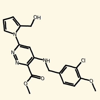 COC(=O)c1nnc(-n2cccc2CO)cc1NCc1ccc(OC)c(Cl)c1